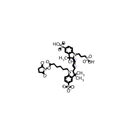 CC1(C)C(/C=C/C=C2/N(CCCS(=O)(=O)O)c3ccc(S(=O)(=O)O)cc3C2(C)C)=[N+](CCCCCC(=O)ON2C(=O)CCC2=O)c2ccc(S(=O)(=O)[O-])cc21